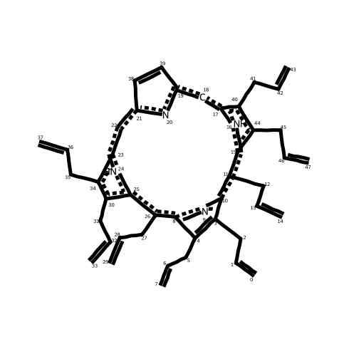 C=CCC1=C(CC=C)c2nc1c(CC=C)c1[nH]c(cc3nc(cc4[nH]c(c2CC=C)c(CC=C)c4CC=C)C=C3)c(CC=C)c1CC=C